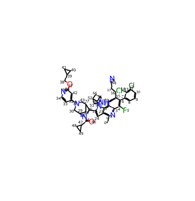 Cc1nc2c(F)c(-c3cccc(Cl)c3Cl)c(CCC#N)cc2c2c1cc(C1C3CC(CN(c4ccnc(OCC5CC5)c4)C3)N1C(=O)C1CC1)n2C1C2CNC1C2